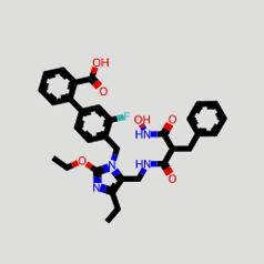 CCOc1nc(CC)c(CNC(=O)C(Cc2ccccc2)C(=O)NO)n1Cc1ccc(-c2ccccc2C(=O)O)cc1F